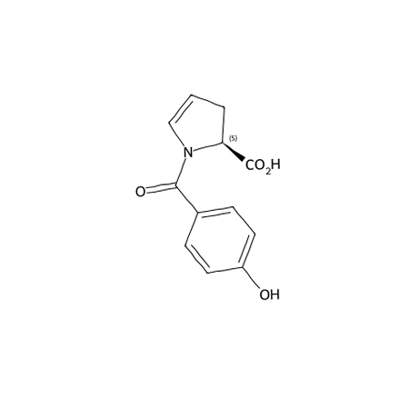 O=C(O)[C@@H]1CC=CN1C(=O)c1ccc(O)cc1